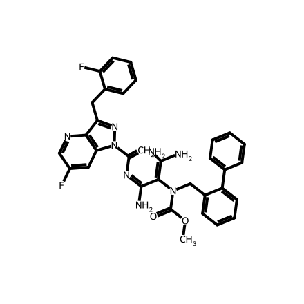 C=C(/N=C(/N)C(=C(N)N)N(Cc1ccccc1-c1ccccc1)C(=O)OC)n1nc(Cc2ccccc2F)c2ncc(F)cc21